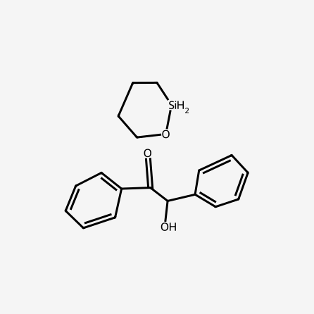 C1CC[SiH2]OC1.O=C(c1ccccc1)C(O)c1ccccc1